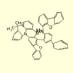 CC1(C)c2ccccc2N2c3cc4c(oc5ccccc54)c(-c4cc(-c5ccccc5)ccc4Nc4cccc5c4oc4ccccc45)c3Bc3cccc1c32